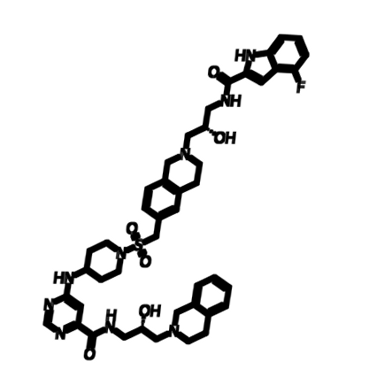 O=C(NC[C@H](O)CN1CCc2ccccc2C1)c1cc(NC2CCN(S(=O)(=O)Cc3ccc4c(c3)CCN(C[C@@H](O)CNC(=O)c3cc5c(F)cccc5[nH]3)C4)CC2)ncn1